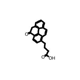 O=C(O)CCCc1ccc2c3c1ccc1cccc(c13)CC2=O